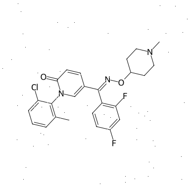 Cc1cccc(Cl)c1-n1cc(C(=NOC2CCN(C)CC2)c2ccc(F)cc2F)ccc1=O